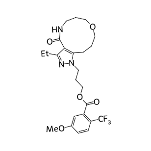 CCc1nn(CCCOC(=O)c2cc(OC)ccc2C(F)(F)F)c2c1C(=O)NCCCOCCC2